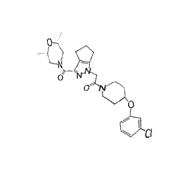 C[C@@H]1CN(C(=O)c2nn(CC(=O)N3CCC(Oc4cccc(Cl)c4)CC3)c3c2CCC3)C[C@H](C)O1